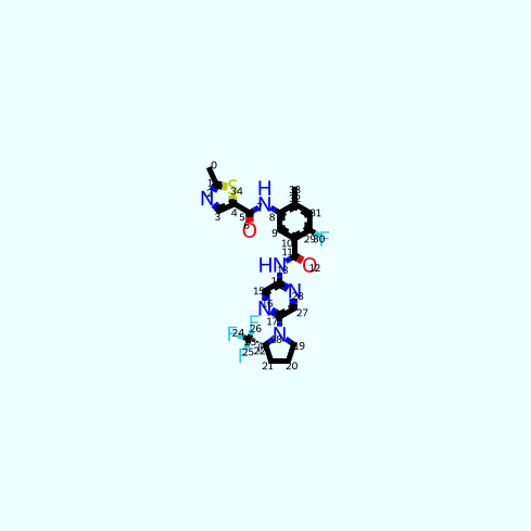 Cc1ncc(C(=O)Nc2cc(C(=O)Nc3cnc(N4CCC[C@@H]4C(F)(F)F)cn3)c(F)cc2C)s1